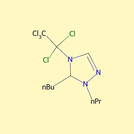 CCCCC1N(CCC)N=CN1C(Cl)(Cl)C(Cl)(Cl)Cl